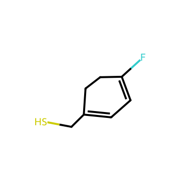 FC1=CC=C(CS)CC1